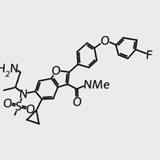 CNC(=O)c1c(-c2ccc(Oc3ccc(F)cc3)cc2)oc2cc(N(C(C)CN)S(C)(=O)=O)c(C3CC3)cc12